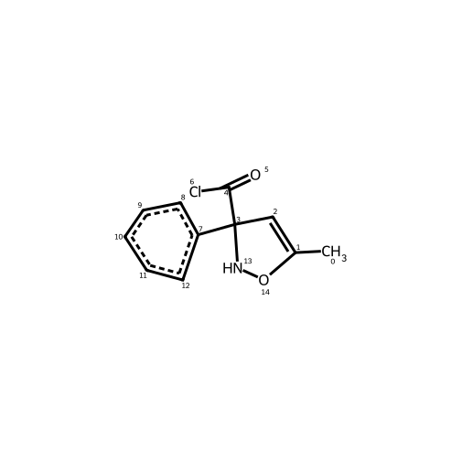 CC1=CC(C(=O)Cl)(c2ccccc2)NO1